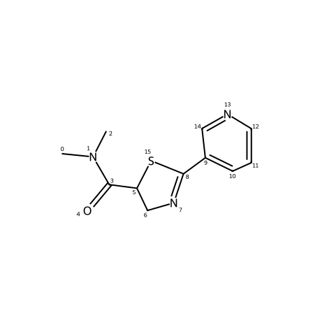 CN(C)C(=O)C1CN=C(c2cccnc2)S1